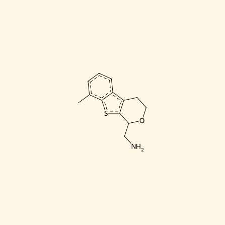 Cc1cccc2c3c(sc12)C(CN)OCC3